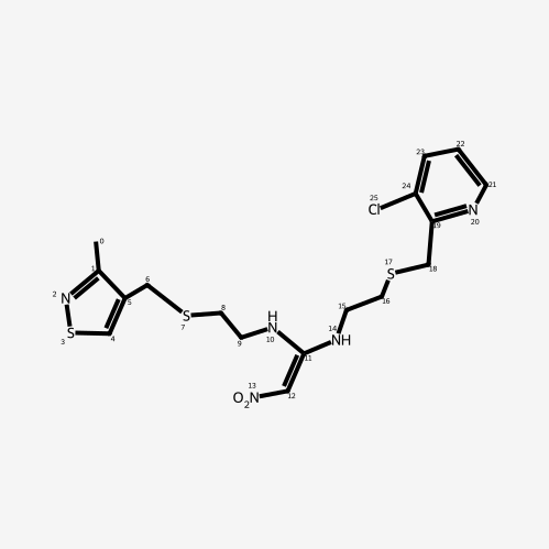 Cc1nscc1CSCCNC(=C[N+](=O)[O-])NCCSCc1ncccc1Cl